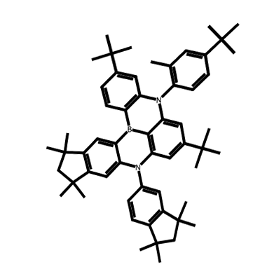 Cc1cc(C(C)(C)C)ccc1N1c2cc(C(C)(C)C)ccc2B2c3cc4c(cc3N(c3ccc5c(c3)C(C)(C)CC5(C)C)c3cc(C(C)(C)C)cc1c32)C(C)(C)CC4(C)C